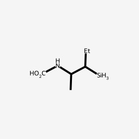 CCC([SiH3])C(C)NC(=O)O